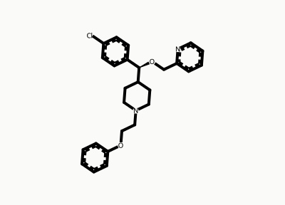 Clc1ccc([C@@H](OCc2ccccn2)C2CCN(CCOc3ccccc3)CC2)cc1